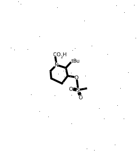 CC(C)(C)C1C(OS(C)(=O)=O)CCCN1C(=O)O